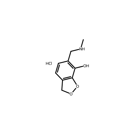 CNCc1ccc2c(c1O)OOC2.Cl